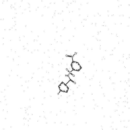 O=C(NS(=O)(=O)c1cccc([N+](=O)[O-])c1)c1ccc(F)cc1